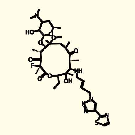 CC[C@H]1OC(=O)[C@@](C)(F)C(=O)[C@H](C)[C@@H](O[C@@H]2O[C@H](C)CC(N(C)C)C2O)[C@](C)(OC)C[C@@H](C)C(=O)[C@H](C)[C@@H](NC/C=C/Cn2cc(-c3nccs3)nn2)[C@]1(C)O